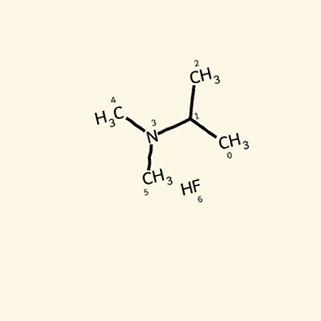 CC(C)N(C)C.F